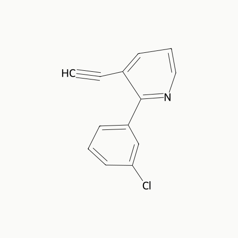 C#Cc1cccnc1-c1cccc(Cl)c1